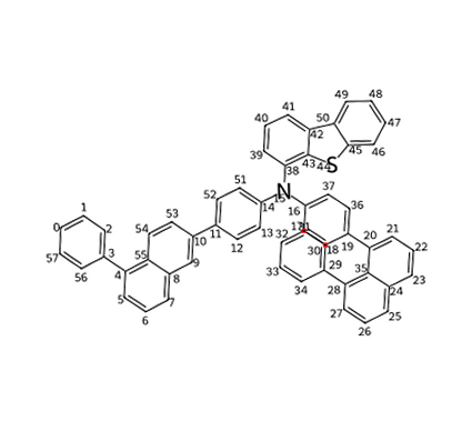 c1ccc(-c2cccc3cc(-c4ccc(N(c5ccc(-c6cccc7cccc(-c8ccccc8)c67)cc5)c5cccc6c5sc5ccccc56)cc4)ccc23)cc1